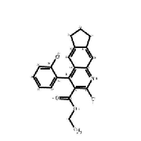 CCOC(=O)c1c(Cl)nc2cc3c(cc2c1-c1ccccc1Cl)CCC3